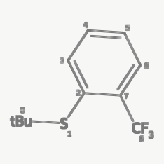 CC(C)(C)Sc1ccccc1C(F)(F)F